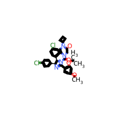 COc1ccc(C2=N[C@@H](c3ccc(Cl)cc3)[C@@H](c3ccc(Cl)cc3)N2C(=O)N2CCN(C3CCC3)C(=O)C2)c(OC(C)C)c1